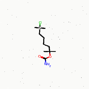 CC(C)(CCCC[Si](C)(C)Cl)OC(N)=O